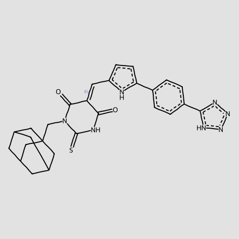 O=C1NC(=S)N(CC23CC4CC(CC(C4)C2)C3)C(=O)/C1=C/c1ccc(-c2ccc(-c3nnn[nH]3)cc2)[nH]1